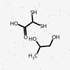 CC(O)CO.O=C(O)C(S)S